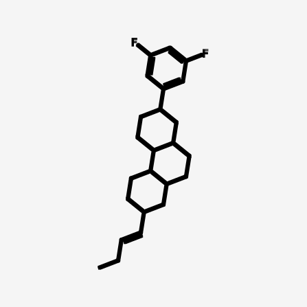 CC/C=C/C1CCC2C(CCC3CC(c4cc(F)cc(F)c4)CCC32)C1